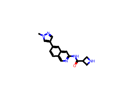 Cn1cc(-c2ccc3cnc(NC(=O)C4CNC4)cc3c2)cn1